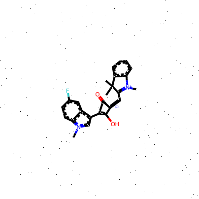 Cn1cc(C2=C(O)/C(=C/C3=[N+](C)c4ccccc4C3(C)C)C2=O)c2cc(F)ccc21